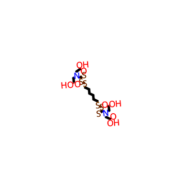 O=C(O)CN(CC(=O)O)C(=S)SSCCCCCCSSC(=S)N(CC(=O)O)CC(=O)O